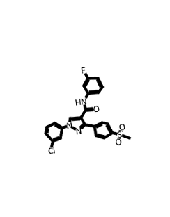 CS(=O)(=O)c1ccc(-c2nn(-c3cccc(Cl)c3)cc2C(=O)Nc2cccc(F)c2)cc1